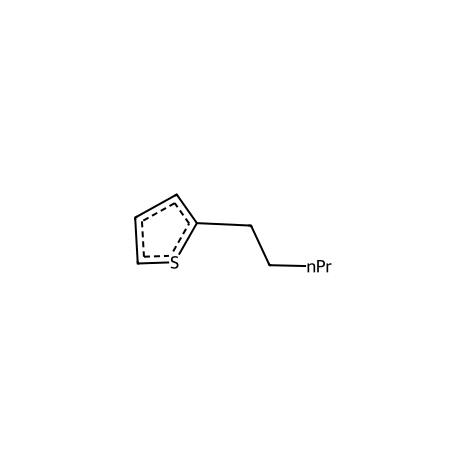 [CH2]CCCCc1cccs1